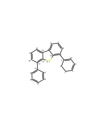 C1=CCCC(c2cccc3c2sc2c(-c4ccccc4)cccc23)=C1